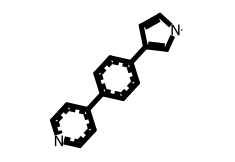 C1=CC(c2ccc(-c3ccncc3)cc2)=C[N]1